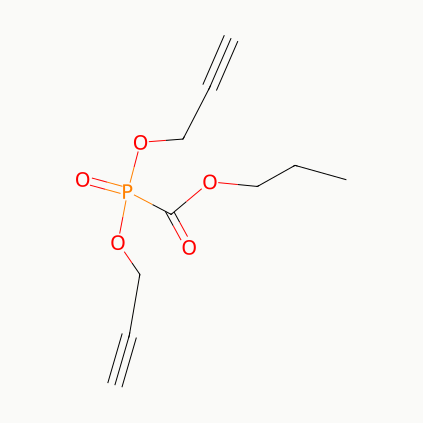 C#CCOP(=O)(OCC#C)C(=O)OCCC